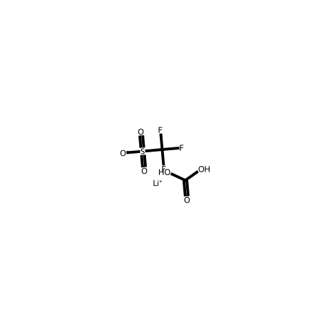 O=C(O)O.O=S(=O)([O-])C(F)(F)F.[Li+]